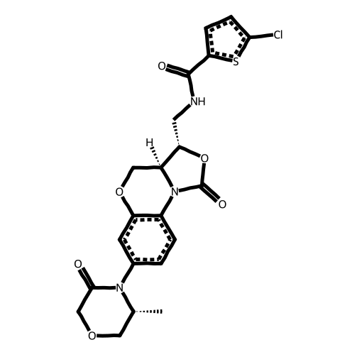 C[C@@H]1COCC(=O)N1c1ccc2c(c1)OC[C@H]1[C@H](CNC(=O)c3ccc(Cl)s3)OC(=O)N21